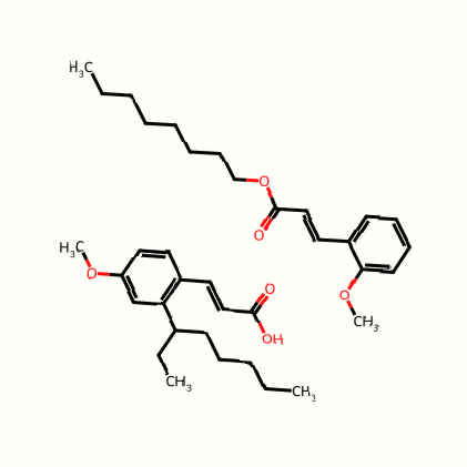 CCCCCC(CC)c1cc(OC)ccc1/C=C/C(=O)O.CCCCCCCCOC(=O)/C=C/c1ccccc1OC